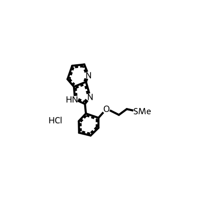 CSCCOc1ccccc1-c1nc2ncccc2[nH]1.Cl